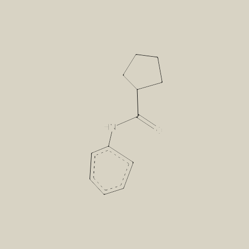 O=C(Nc1c[c]ccc1)C1CCCC1